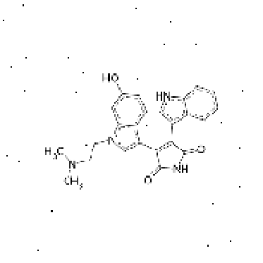 CN(C)CCn1cc(C2=C(c3c[nH]c4ccccc34)C(=O)NC2=O)c2ccc(O)cc21